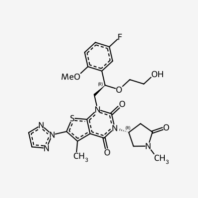 COc1ccc(F)cc1[C@H](Cn1c(=O)n([C@@H]2CC(=O)N(C)C2)c(=O)c2c(C)c(-n3nccn3)sc21)OCCO